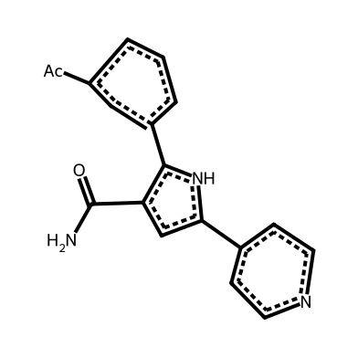 CC(=O)c1cccc(-c2[nH]c(-c3ccncc3)cc2C(N)=O)c1